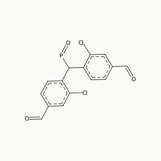 O=Cc1ccc(C(P=O)c2ccc(C=O)cc2Cl)c(Cl)c1